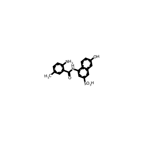 Cc1ccc(N)c(C(=O)Nc2cc(S(=O)(=O)O)cc3cc(O)ccc23)c1